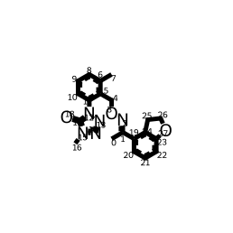 CC(=NOCc1c(C)cccc1-n1nnn(C)c1=O)c1cccc2c1CCO2